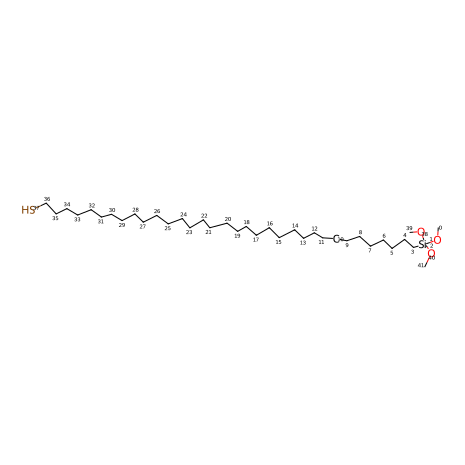 CO[Si](CCCCCCCCCCCCCCCCCCCCCCCCCCCCCCCCCCS)(OC)OC